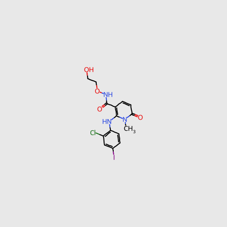 Cn1c(Nc2ccc(I)cc2Cl)c(C(=O)NOCCO)ccc1=O